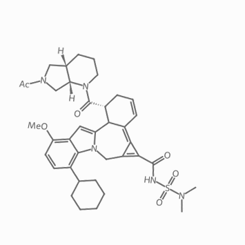 COc1ccc(C2CCCCC2)c2c1cc1n2CC2=C(C(=O)NS(=O)(=O)N(C)C)C2=C2C=CC[C@@H](C(=O)N3CCC[C@H]4CN(C(C)=O)C[C@H]43)C21